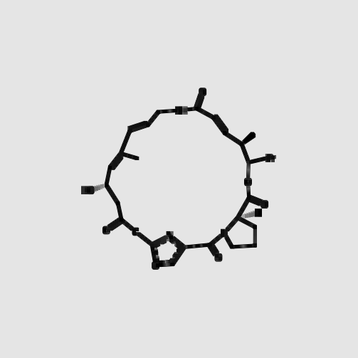 CC1=C\[C@@H](O)CC(=O)Cc2nc(co2)C(=O)N2CCC[C@@H]2C(=O)OC(C(C)C)[C@H](C)/C=C/C(=O)NC\C=C\1